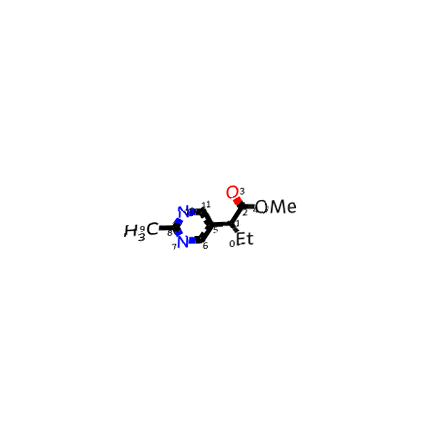 CCC(C(=O)OC)c1cnc(C)nc1